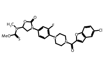 COC(=S)N(C)C1CN(c2ccc(N3CCN(C(=O)c4cc5cc(Cl)ccc5o4)CC3)c(F)c2)C(=O)O1